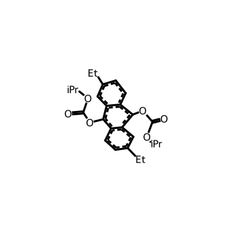 CCc1ccc2c(OC(=O)OC(C)C)c3cc(CC)ccc3c(OC(=O)OC(C)C)c2c1